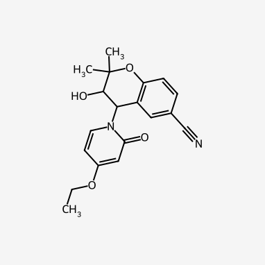 CCOc1ccn(C2c3cc(C#N)ccc3OC(C)(C)C2O)c(=O)c1